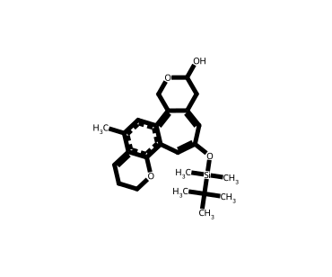 Cc1cc2c(c3c1=CCCO3)C=C(O[Si](C)(C)C(C)(C)C)C=C1CC(O)OCC=21